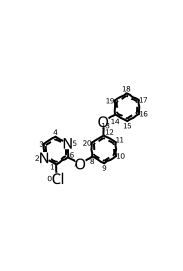 Clc1nccnc1Oc1cccc(Oc2ccccc2)c1